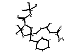 CC(CC[C@]1(CC2CCCCC2)CN(C(=O)OC(C)(C)C)C(C)(C)O1)CC(N)=O